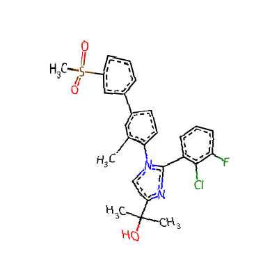 Cc1cc(-c2cccc(S(C)(=O)=O)c2)ccc1-n1cc(C(C)(C)O)nc1-c1cccc(F)c1Cl